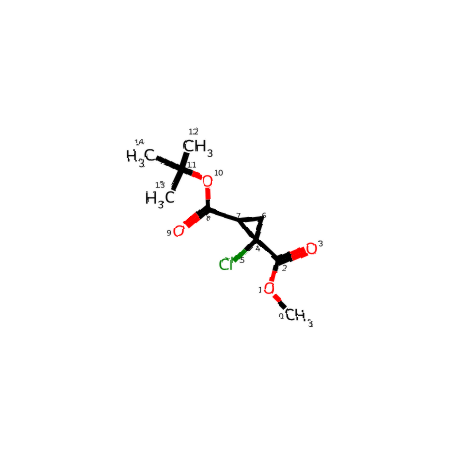 COC(=O)C1(Cl)CC1C(=O)OC(C)(C)C